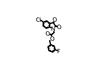 O=C(CN1C(=O)C(=O)c2cc(Cl)ccc21)OCc1cccc(F)c1